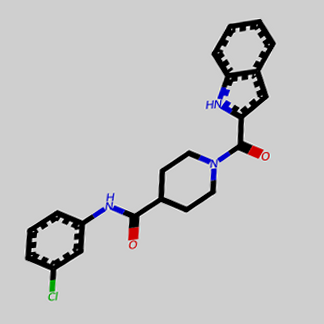 O=C(Nc1cccc(Cl)c1)C1CCN(C(=O)c2cc3ccccc3[nH]2)CC1